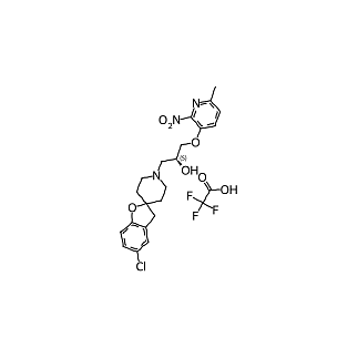 Cc1ccc(OC[C@@H](O)CN2CCC3(CC2)Cc2cc(Cl)ccc2O3)c([N+](=O)[O-])n1.O=C(O)C(F)(F)F